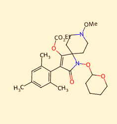 CCOC(=O)OC1=C(c2c(C)cc(C)cc2C)C(=O)N(OC2CCCCO2)C12CCN(OC)CC2